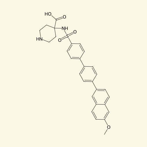 COc1ccc2cc(-c3ccc(-c4ccc(S(=O)(=O)NC5(C(=O)O)CCNCC5)cc4)cc3)ccc2c1